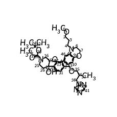 COCCCN1CCOc2ccc(CO[C@H]3CN(C(=O)OC(C)(C)C)CC[C@]3(O)c3ccc(COC[C@@H](C)Cn4ncnn4)cc3)cc21